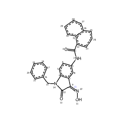 O=C(Nc1ccc2c(c1)/C(=N/O)C(=O)N2Cc1ccccc1)c1cccc2ccccc12